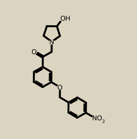 O=C(CN1CCC(O)C1)c1cccc(OCc2ccc([N+](=O)[O-])cc2)c1